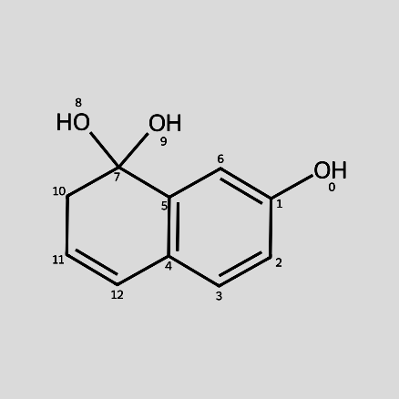 Oc1ccc2c(c1)C(O)(O)CC=C2